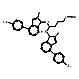 CC1=Cc2c(-c3ccc(C(C)(C)C)cc3)cccc2C1[SiH2][C](CCCOC(C)(C)C)[SiH2]C1C(C)=Cc2c(-c3ccc(C(C)(C)C)cc3)cccc21